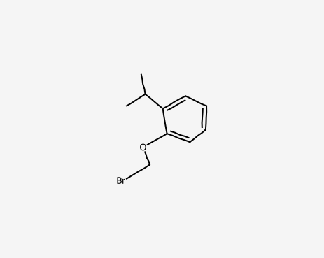 CC(C)c1ccccc1OCBr